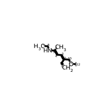 C=C/C(=C\C=C(/C)NCC)COI